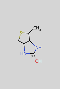 CC1SCC2N[C@@H](O)NC21